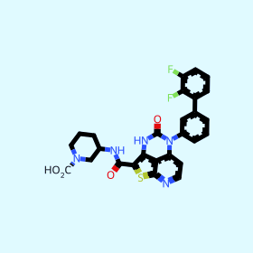 O=C(NC1CCCN(C(=O)O)C1)c1sc2nccc3c2c1NC(=O)N3c1cccc(-c2cccc(F)c2F)c1